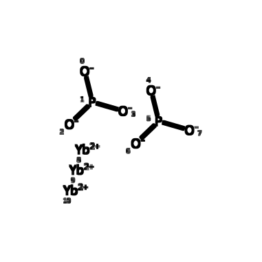 [O-]P([O-])[O-].[O-]P([O-])[O-].[Yb+2].[Yb+2].[Yb+2]